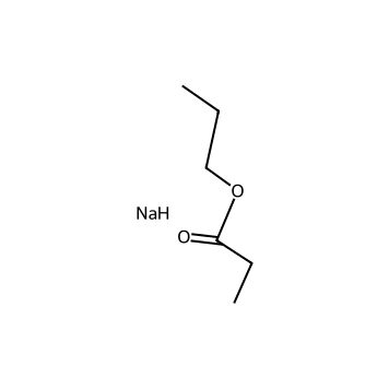 CCCOC(=O)CC.[NaH]